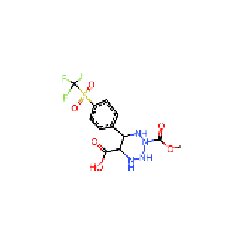 COC(=O)N1NNC(C(=O)O)C(c2ccc(S(=O)(=O)C(F)(F)F)cc2)N1